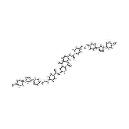 O=C(Oc1ccc2c(c1)C(=O)c1ccc(OC(=O)c3ccc(CCSc4ccc(-n5cc(-c6ccc(Br)nc6)nn5)nc4)cc3)cc1C2=O)c1ccc(CCSc2ccc(-n3cc(-c4ccc(Br)cc4)nn3)nc2)cc1